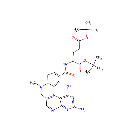 CN(Cc1cnc2nc(N)nc(N)c2n1)c1ccc(C(=O)NC(CCC(=O)OC(C)(C)C)C(=O)OC(C)(C)C)cc1